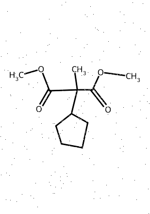 COC(=O)C(C)(C(=O)OC)C1CCCC1